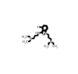 CCN(CC)CCCNc1nn(CCCN(CC)CC)c2cccc(Cl)c12